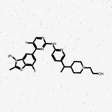 Cc1nc2c(F)cc(-c3nc(Nc4ccc(C(C)C5CCN(CCO)CC5)cn4)ncc3F)cc2n1C(C)C